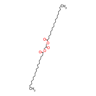 CCCCCCCCCCCCCCCCCC(=O)OCC(=O)COC(=O)CCCCCCCCCCCCCCCCC